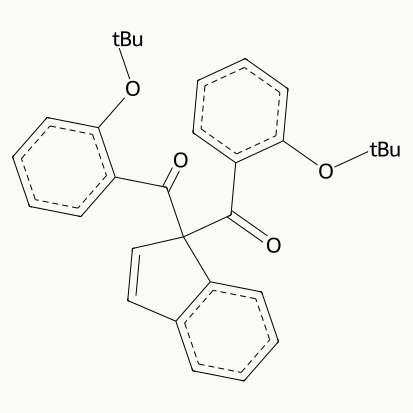 CC(C)(C)Oc1ccccc1C(=O)C1(C(=O)c2ccccc2OC(C)(C)C)C=Cc2ccccc21